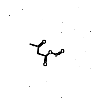 CC(=O)CC(=O)OP=O